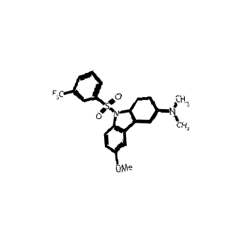 COc1ccc2c(c1)C1CC(N(C)C)CCC1N2S(=O)(=O)c1cccc(C(F)(F)F)c1